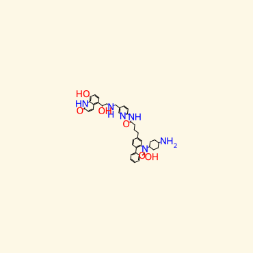 NC1CCC(N(C(=O)O)c2cc(CCCC(=O)Nc3ccc(CNC[C@@H](O)c4ccc(O)c5[nH]c(=O)ccc45)cn3)ccc2-c2ccccc2)CC1